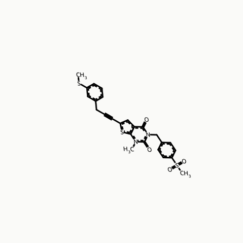 CSc1cccc(CC#Cc2cc3c(=O)n(Cc4ccc(S(C)(=O)=O)cc4)c(=O)n(C)c3s2)c1